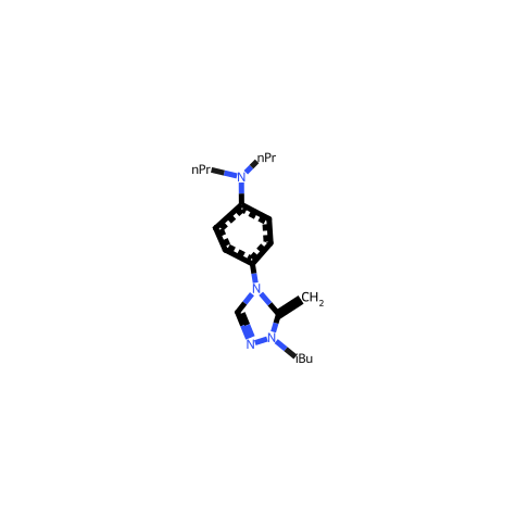 C=C1N(c2ccc(N(CCC)CCC)cc2)C=NN1C(C)CC